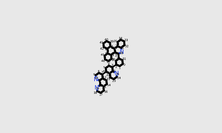 c1cc(-c2ccc(-c3ccnc4c3ccc3cccnc34)c3cccnc23)cc(-c2nc3ccccc3c3c4ccccc4c4ccccc4c23)c1